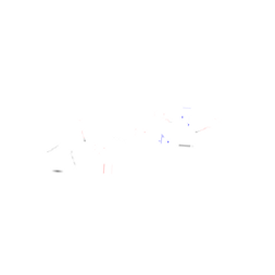 Cc1ccc(C(=O)OC[C@H]2O[C@@H](n3cc(C)c(=O)[nH]c3=O)CC2O)cc1